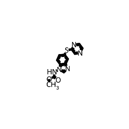 COC(=O)Nn1cnc2cc(Sc3cnccn3)ccc21